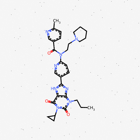 CCCn1c(=O)n(C2CC2)c(=O)c2[nH]c(-c3ccc(N(CCN4CCCCC4)C(=O)c4ccc(C)nc4)nc3)nc21